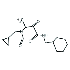 CC(C(=O)C(=O)NCC1CCCCC1)N(C=O)CC1CC1